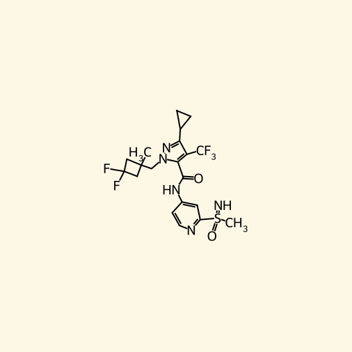 CC1(Cn2nc(C3CC3)c(C(F)(F)F)c2C(=O)Nc2ccnc(S(C)(=N)=O)c2)CC(F)(F)C1